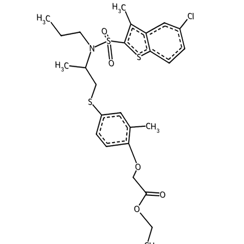 CCCN(C(C)CSc1ccc(OCC(=O)OCC)c(C)c1)S(=O)(=O)c1sc2ccc(Cl)cc2c1C